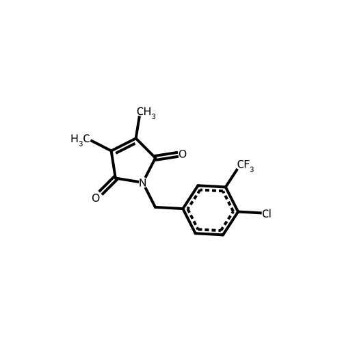 CC1=C(C)C(=O)N(Cc2ccc(Cl)c(C(F)(F)F)c2)C1=O